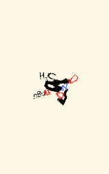 CCCCOc1ccc2c(C)cc(=O)n(CC3CCCO3)c2c1